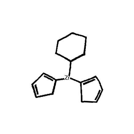 C1=CC[C]([Zr]([C]2=CC=CC2)[CH]2CCCCC2)=C1